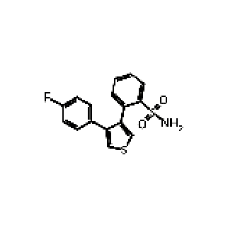 NS(=O)(=O)c1ccccc1-c1cscc1-c1ccc(F)cc1